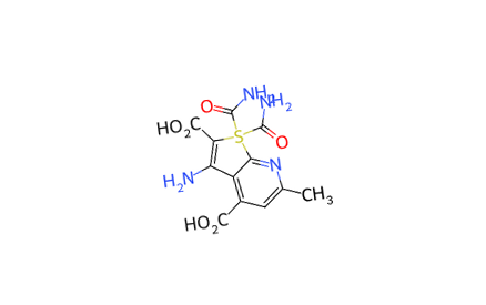 Cc1cc(C(=O)O)c2c(n1)S(C(N)=O)(C(N)=O)C(C(=O)O)=C2N